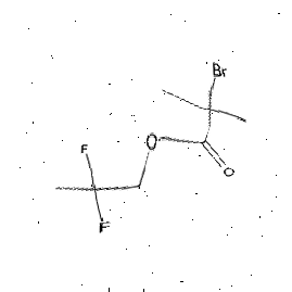 CC(F)(F)COC(=O)C(C)(C)Br